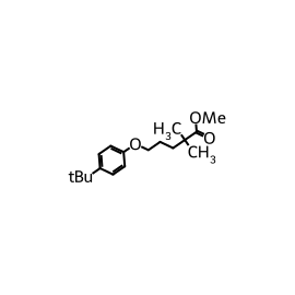 COC(=O)C(C)(C)CCCOc1ccc(C(C)(C)C)cc1